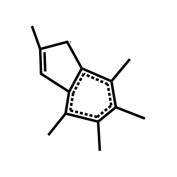 CC1=Cc2c(C)c(C)c(C)c(C)c2[CH]1